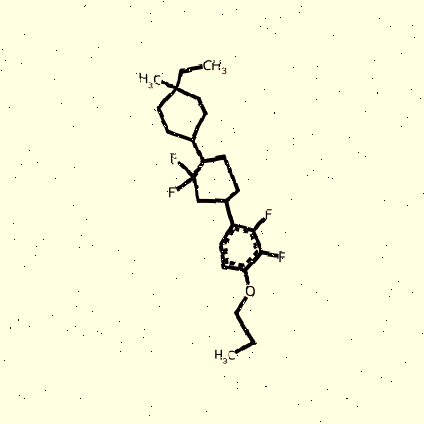 CCCOc1ccc(C2CCC(C3CCC(C)(CC)CC3)C(F)(F)C2)c(F)c1F